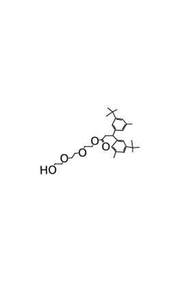 Cc1cc(C(CC(=O)OCCOCCOCCO)c2cc(C)cc(C(C)(C)C)c2)cc(C(C)(C)C)c1